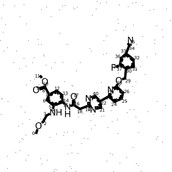 COCCNc1cc(C(=O)OC)ccc1NC(=O)Cc1ncc(-c2cccc(OCc3ccc(C#N)cc3F)n2)cn1